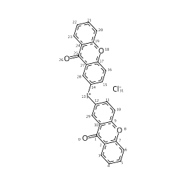 O=c1c2ccccc2oc2ccc([I+]c3ccc4oc5ccccc5c(=O)c4c3)cc12.[Cl-]